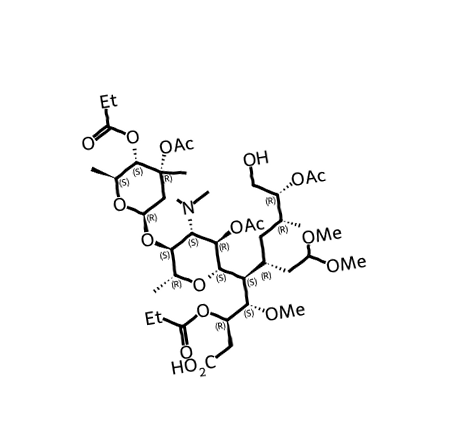 CCC(=O)O[C@H](CC(=O)O)[C@@H](OC)[C@H]([C@@H](CC(OC)OC)C[C@@H](C)[C@H](CO)OC(C)=O)[C@@H]1O[C@H](C)[C@@H](O[C@@H]2C[C@@](C)(OC(C)=O)[C@@H](OC(=O)CC)[C@H](C)O2)[C@H](N(C)C)[C@H]1OC(C)=O